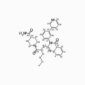 CCCCC(SC1=NC2C=CC=CC2C(=O)N1c1cccc(-c2cccnc2)c1)C(=O)N1CCC(C(N)=O)CC1